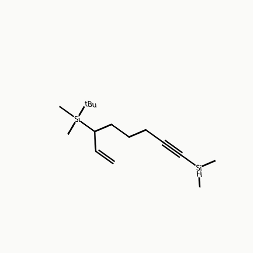 C=CC(CCCC#C[SiH](C)C)[Si](C)(C)C(C)(C)C